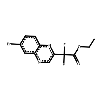 CCOC(=O)C(F)(F)c1cnc2cc(Br)ccc2n1